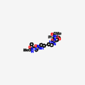 COC(=O)N[C@H](C(=O)N1CC2(C#C[C@H]1c1nc3c([nH]1)-c1ccc(-c4ccc5c(ccc6nc([C@@H]7CCCN7C(=O)[C@H](NC(=O)OC)c7ccccc7)[nH]c65)c4)cc1CC3)OCCO2)C(C)C